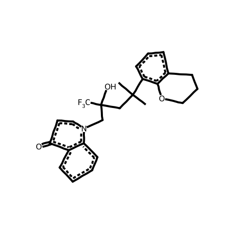 CC(C)(CC(O)(Cn1ccc(=O)c2ccccc21)C(F)(F)F)c1cccc2c1OCCC2